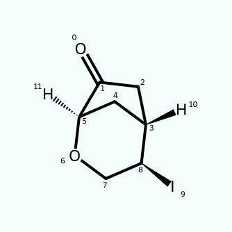 O=C1C[C@H]2C[C@H]1OC[C@@H]2I